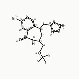 CC(C)(C)OCC1CN(Cc2c[nH]cn2)c2ccc(Br)cc2C(=O)N1